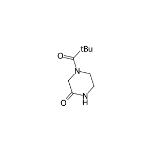 CC(C)(C)C(=O)N1CCNC(=O)C1